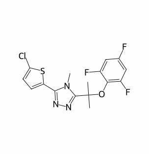 Cn1c(-c2ccc(Cl)s2)nnc1C(C)(C)Oc1c(F)cc(F)cc1F